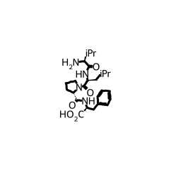 CC(C)C[C@H](NC(=O)[C@@H](N)C(C)C)C(=O)N1CCC[C@H]1C(=O)N[C@@H](Cc1ccccc1)C(=O)O